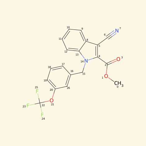 COC(=O)c1c(C#N)c2ccccc2n1Cc1cccc(OC(F)(F)F)c1